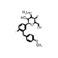 COc1ccc(Cc2cc(C3OC(CO)C(F)C(OC)C3O)ccc2F)cc1